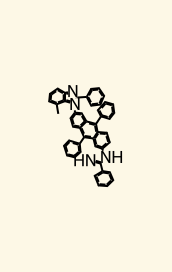 Cc1cccc2nc(-c3ccccc3)n(-c3ccc4c(-c5ccccc5)c5cc(NC(=N)c6ccccc6)ccc5c(-c5ccccc5)c4c3)c12